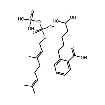 CC(C)=CCC/C(C)=C/COP(=O)(O)OP(=O)(O)O.O=C(O)c1ccccc1CCCCC(O)O